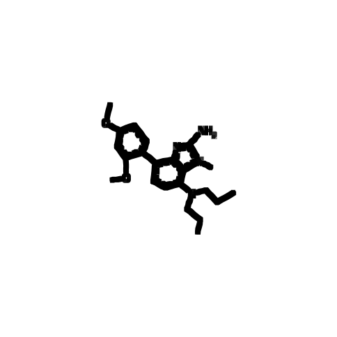 CCCN(CCC)c1ccc(-c2ccc(OC)cc2OC)c2nc(N)n(C)c12